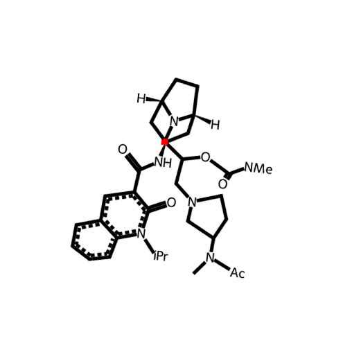 CNC(=O)OC(CN1CCC(N(C)C(C)=O)C1)CN1[C@@H]2CC[C@H]1C[C@H](NC(=O)c1cc3ccccc3n(C(C)C)c1=O)C2